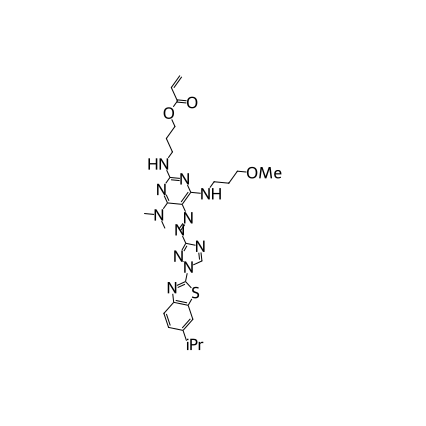 C=CC(=O)OCCCNc1nc(NCCCOC)c(N=Nc2ncn(-c3nc4ccc(C(C)C)cc4s3)n2)c(N(C)C)n1